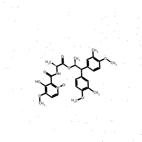 COc1ccc(C(c2ccc(OC)c(C)c2)[C@H](C)OC(=O)[C@H](C)NC(=O)c2c(O)c(OC)cc[n+]2[O-])cc1C